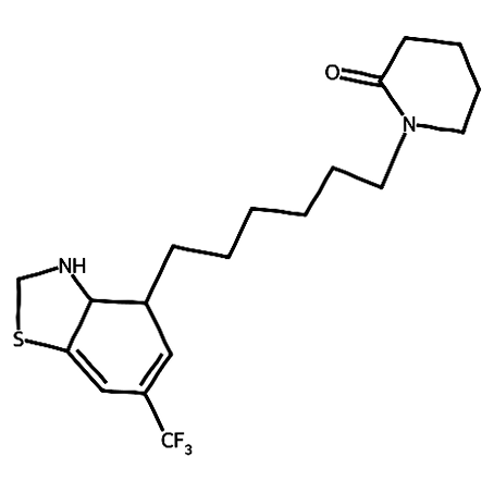 O=C1CCCCN1CCCCCCC1C=C(C(F)(F)F)C=C2SCNC21